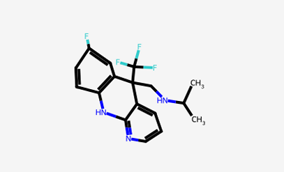 CC(C)NCC1(C(F)(F)F)c2cc(F)ccc2Nc2ncccc21